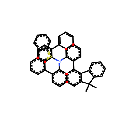 CC1(C)c2ccccc2-c2c(-c3ccccc3N(c3ccccc3C3=CC=CCC3)c3ccccc3-c3cccc4c3sc3ccccc34)cccc21